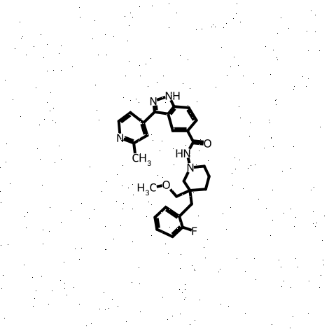 COCC1(Cc2ccccc2F)CCCN(NC(=O)c2ccc3[nH]nc(-c4ccnc(C)c4)c3c2)C1